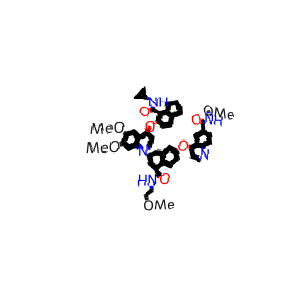 COCCNC(=O)c1cccc2cc(Oc3ccnc4ccc(C(=O)NOC)cc34)ccc12.COc1cc2nccc(Oc3ccc4ccccc4c3C(=O)NC3CC3)c2cc1OC